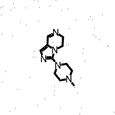 CN1CCN(c2ncc3n2CCN=C3)CC1